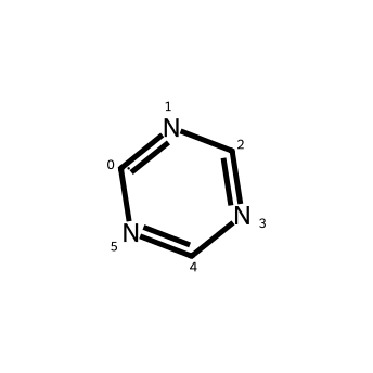 [c]1ncncn1